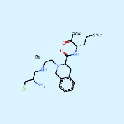 CC[C@H](C)[C@@H](CN1Cc2ccccc2CC1C(=O)N[C@@H](CCSC)C(=O)OC)NC[C@@H](N)CS